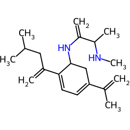 C=C(C)C1=CC=C(C(=C)CC(C)C)C(NC(=C)C(C)NC)C1